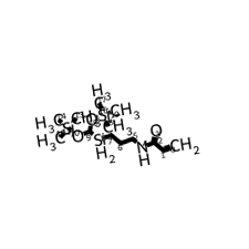 C=CC(=O)NCCC[SiH2]C(O[Si](C)(C)C)O[Si](C)(C)C